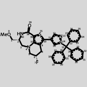 COC[C@H]1CN2C[C@@H](F)Cc3c(-c4cnn(C(c5ccccc5)(c5ccccc5)c5ccccc5)c4)sc(c32)C(=O)N1